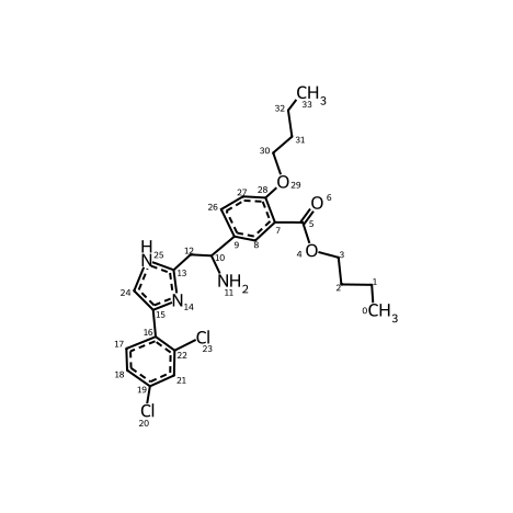 CCCCOC(=O)c1cc(C(N)Cc2nc(-c3ccc(Cl)cc3Cl)c[nH]2)ccc1OCCCC